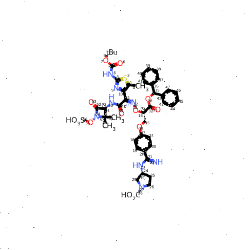 Cc1sc(NC(=O)OC(C)(C)C)nc1/C(=N/O[C@@H](COc1ccc(C(=N)N[C@H]2CCN(C(=O)O)C2)cc1)C(=O)OC(c1ccccc1)c1ccccc1)C(=O)N[C@@H]1C(=O)N(OS(=O)(=O)O)C1(C)C